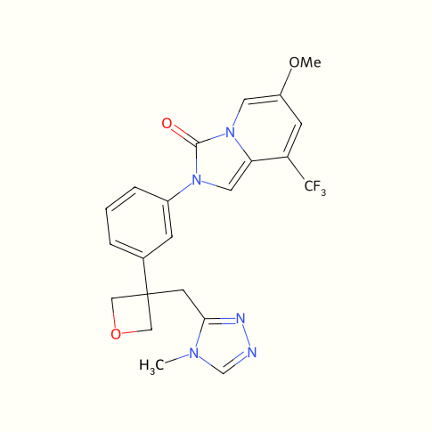 COc1cc(C(F)(F)F)c2cn(-c3cccc(C4(Cc5nncn5C)COC4)c3)c(=O)n2c1